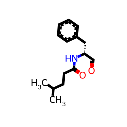 CC(C)CCC(=O)N[C@@H](C=O)Cc1ccccc1